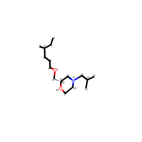 CCC(C)CCCOC[C@@H]1CN(CC(C)C)CCO1